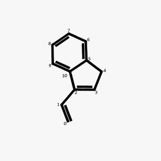 C=CC1=CCc2cc[c]cc21